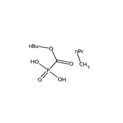 CCCC.CCCCOC(=O)P(=O)(O)O